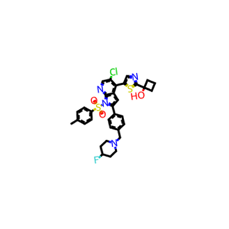 Cc1ccc(S(=O)(=O)n2c(-c3ccc(CN4CCC(F)CC4)cc3)cc3c(-c4cnc(C5(O)CCC5)s4)c(Cl)cnc32)cc1